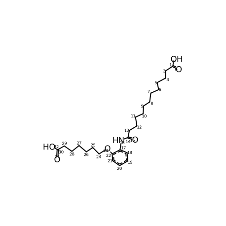 O=C(O)CCCCCCCCCCCC(=O)Nc1ccccc1OCCCCCCC(=O)O